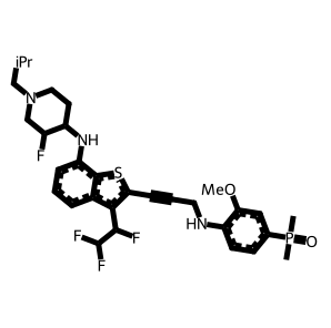 COc1cc(P(C)(C)=O)ccc1NCC#Cc1sc2c(NC3CCN(CC(C)C)CC3F)cccc2c1C(F)C(F)F